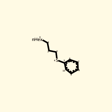 CCCCCCCCCSc1[c]cccc1